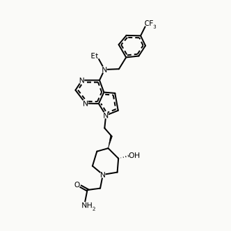 CCN(Cc1ccc(C(F)(F)F)cc1)c1ncnc2c1ccn2CC[C@@H]1CCN(CC(N)=O)C[C@H]1O